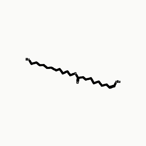 CCCC/C=C\CCCCCCCC(=O)OCCCCCCCCCCCC(C)CC